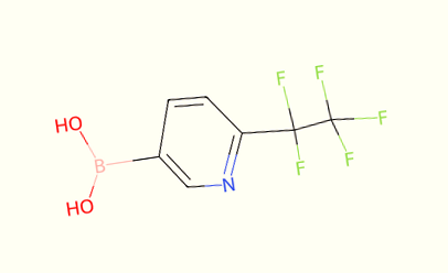 OB(O)c1ccc(C(F)(F)C(F)(F)F)nc1